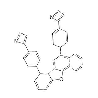 C1=CC(c2cc3c(oc4cccc(-c5ccc(C6=CC=N6)cc5)c43)c3ccccc23)CC=C1C1=CC=N1